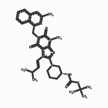 Cc1cc2ccccc2c(Cn2c(=O)c3c(nc(N4CCC[C@@H](NC(=O)OC(C)(C)C)C4)n3/C=C/C(C)C)n(C)c2=O)n1